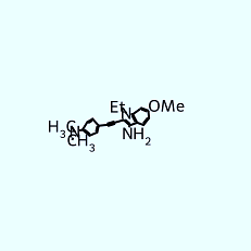 CCn1c(C#Cc2ccc(N(C)C)cc2)c(N)c2ccc(OC)cc21